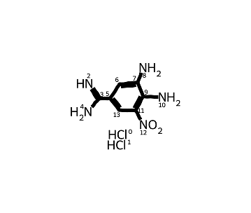 Cl.Cl.N=C(N)c1cc(N)c(N)c([N+](=O)[O-])c1